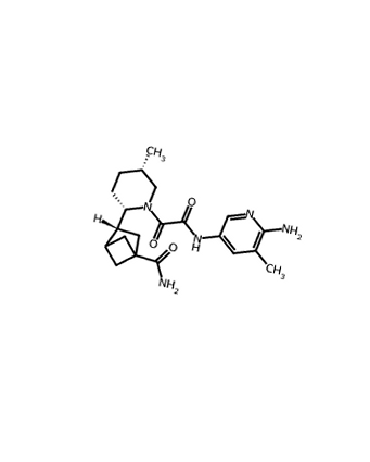 Cc1cc(NC(=O)C(=O)N2C[C@@H](C)CC[C@H]2[C@@H]2CC3(C(N)=O)CC2C3)cnc1N